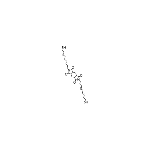 O=C1C2CC3C(=O)N(CCCSCCSCCS)C(=O)C3CC2C(=O)N1CCCSCCSCCS